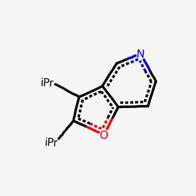 CC(C)c1oc2ccncc2c1C(C)C